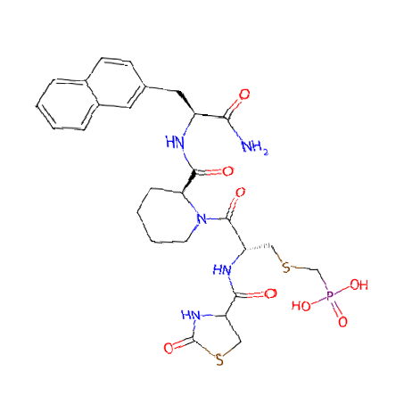 NC(=O)[C@H](Cc1ccc2ccccc2c1)NC(=O)[C@@H]1CCCCN1C(=O)[C@H](CSCP(=O)(O)O)NC(=O)C1CSC(=O)N1